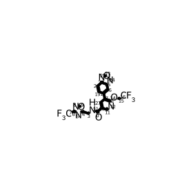 O=C(NCc1nc(C(F)(F)F)no1)c1cnc(OCC(F)(F)F)c(-c2ccc3nonc3c2)c1